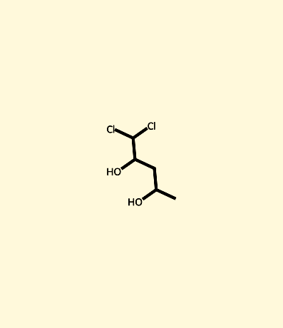 CC(O)CC(O)C(Cl)Cl